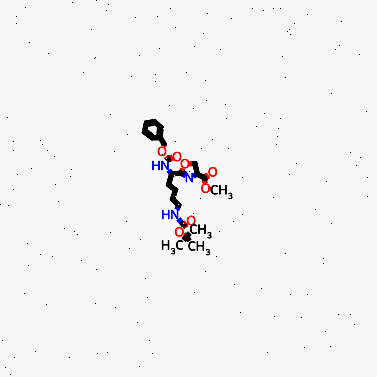 COC(=O)C1COC(C(CCCCNC(=O)OC(C)(C)C)NC(=O)OCc2ccccc2)=N1